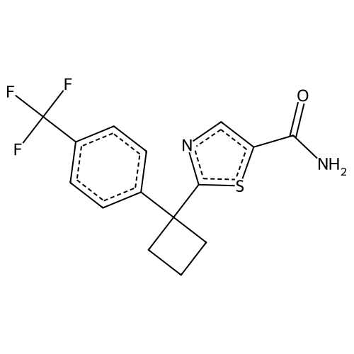 NC(=O)c1cnc(C2(c3ccc(C(F)(F)F)cc3)CCC2)s1